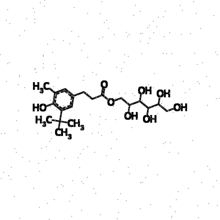 Cc1cc(CCC(=O)OCC(O)C(O)C(O)C(O)CO)cc(C(C)(C)C)c1O